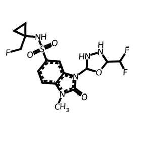 Cn1c(=O)n(C2NNC(C(F)F)O2)c2cc(S(=O)(=O)NC3(CF)CC3)ccc21